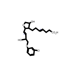 O=C(O)CC/C=C/CCC1C(O)COC1/C=C/C(O)COc1cccc(Cl)c1